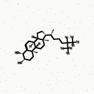 [2H]C([2H])([2H])C([2H])(CCC[C@@H](C)[C@H]1CC[C@H]2[C@@H]3CC=C4[C@@H](O)[C@@H](O)CC[C@]4(C)[C@H]3CC[C@]12C)C([2H])([2H])[2H]